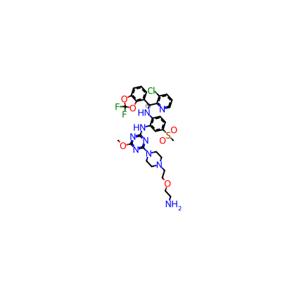 COc1nc(Nc2cc(S(C)(=O)=O)ccc2N[C@@H](c2cccc3c2OC(F)(F)O3)c2ncccc2Cl)nc(N2CCN(CCOCCN)CC2)n1